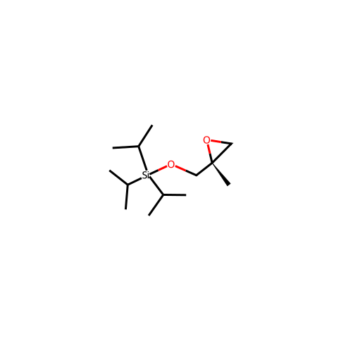 CC(C)[Si](OC[C@@]1(C)CO1)(C(C)C)C(C)C